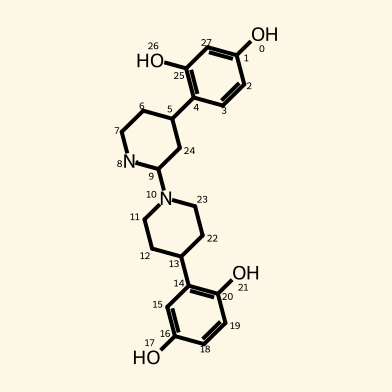 Oc1ccc(C2CC[N]C(N3CCC(c4cc(O)ccc4O)CC3)C2)c(O)c1